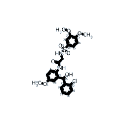 COc1ccc(NC(=O)CNS(=O)(=O)c2ccc(OC)c(OC)c2)c(C(O)c2ccccc2Cl)c1